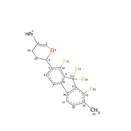 CCCC1=COC(c2ccc3c(c2F)C(F)(F)c2c-3ccc(C)c2F)CC1